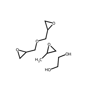 C(OCC1CO1)C1CO1.CC1CO1.OCCO